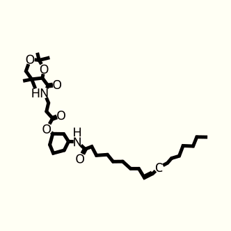 CCCCCCCC/C=C\CCCCCCCC(=O)NC1CCCC(OC(=O)CCNC(=O)C2OC(C)(C)OCC2(C)C)C1